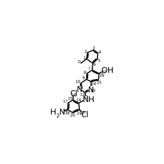 Cc1ccccc1-c1cc2cnc(Nc3c(Cl)cc(N)cc3Cl)nc2cc1O